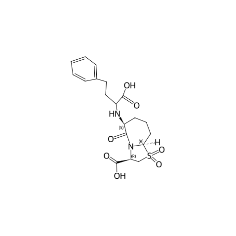 O=C(O)C(CCc1ccccc1)N[C@H]1CCC[C@@H]2N(C1=O)[C@H](C(=O)O)CS2(=O)=O